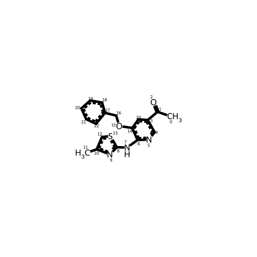 CC(=O)c1cnc(Nc2nc(C)cs2)c(OCc2ccccc2)c1